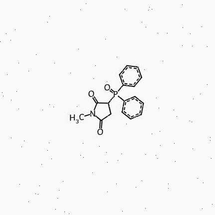 CN1C(=O)CC(P(=O)(c2ccccc2)c2ccccc2)C1=O